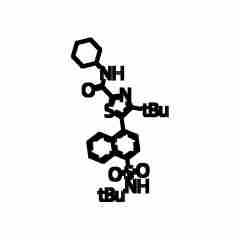 CC(C)(C)NS(=O)(=O)c1ccc(-c2sc(C(=O)NC3CCCCC3)nc2C(C)(C)C)c2ccccc12